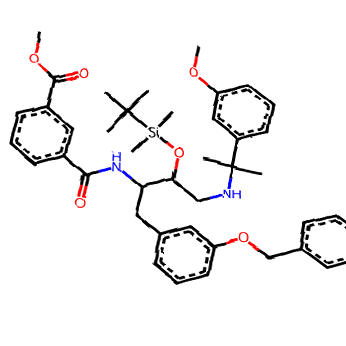 COC(=O)c1cccc(C(=O)NC(Cc2cccc(OCc3ccccc3)c2)C(CNC(C)(C)c2cccc(OC)c2)O[Si](C)(C)C(C)(C)C)c1